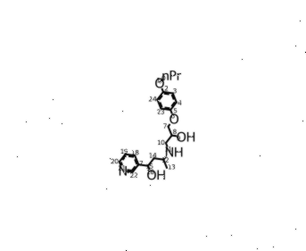 CCCOc1ccc(OCC(O)CNC(C)CC(O)c2cccnc2)cc1